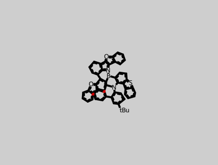 CC(C)(C)c1ccc(N2c3cc4c(oc5ccccc54)c4c3B(c3ccc5sc6ccccc6c5c32)n2c3c-4cccc3c3oc4ccccc4c32)c(-c2ccccc2)c1